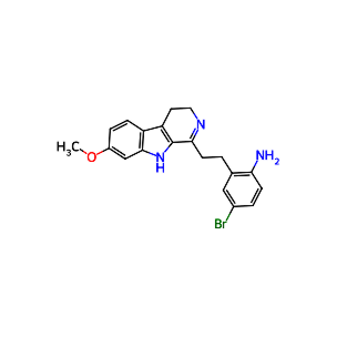 COc1ccc2c3c([nH]c2c1)C(CCc1cc(Br)ccc1N)=NCC3